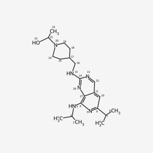 CC(C)Nc1nc(C(C)C)cc2cnc(NCC3CCN(C(C)O)CC3)nc12